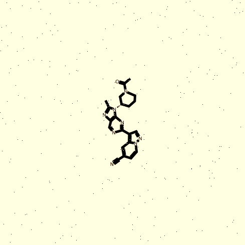 CC(=O)N1CCC[C@H](n2c(C)nc3cnc(-c4cnn5ccc(C#N)cc45)nc32)C1